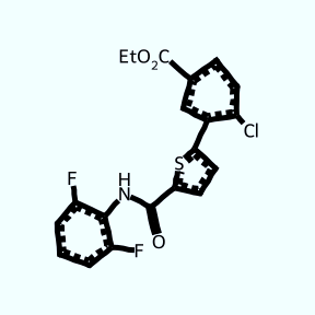 CCOC(=O)c1ccc(Cl)c(-c2ccc(C(=O)Nc3c(F)cccc3F)s2)c1